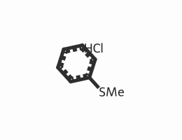 CSc1ccccc1.Cl